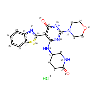 Cl.O=C1CC[C@@H](Nc2nc(N3CCOCC3)[nH]c(=O)c2-c2nc3ccccc3s2)CN1